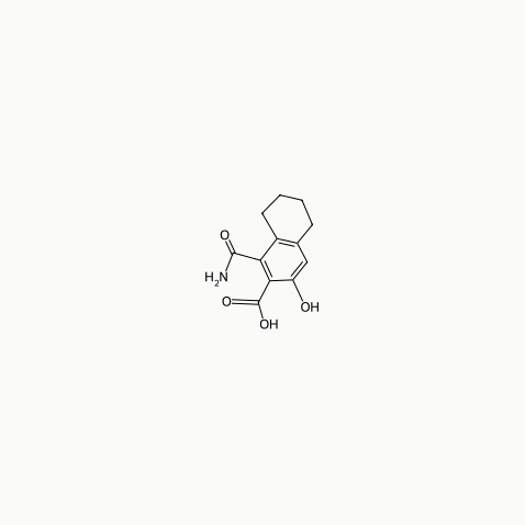 NC(=O)c1c2c(cc(O)c1C(=O)O)CCCC2